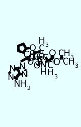 CC(C)OC(=O)C(C)(C)N[P@](=O)(CO[C@H](C)Cn1cnc2c(N)ncnc21)O[C@@H](C)C(=O)OC1CCCC1